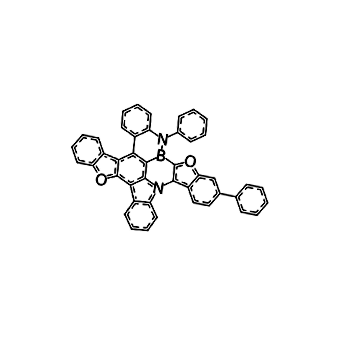 c1ccc(-c2ccc3c4c(oc3c2)B2c3c(c5c6ccccc6oc5c5c6ccccc6n-4c35)-c3ccccc3N2c2ccccc2)cc1